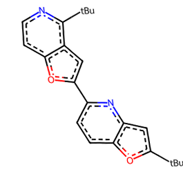 CC(C)(C)c1cc2nc(-c3cc4c(C(C)(C)C)nccc4o3)ccc2o1